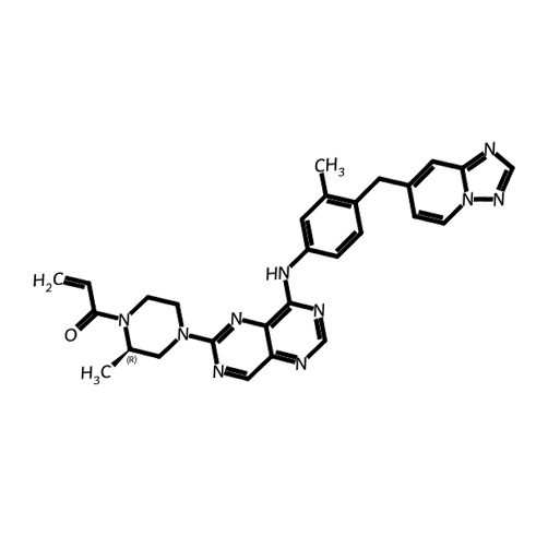 C=CC(=O)N1CCN(c2ncc3ncnc(Nc4ccc(Cc5ccn6ncnc6c5)c(C)c4)c3n2)C[C@H]1C